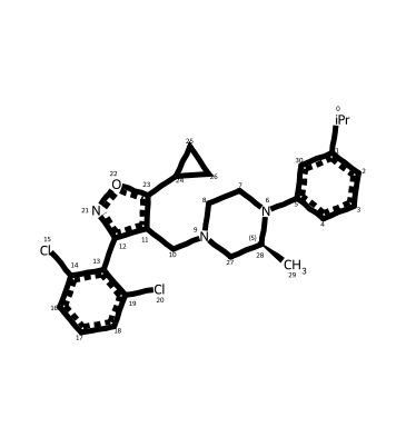 CC(C)c1cccc(N2CCN(Cc3c(-c4c(Cl)cccc4Cl)noc3C3CC3)C[C@@H]2C)c1